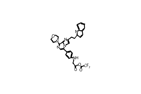 O=C(CNc1ccc(-c2cnc(N3CCOCC3)c3nc(CCc4ccc5ccccc5n4)cn23)cc1)OC(=O)C(F)(F)F